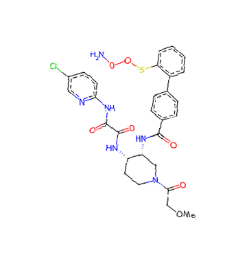 COCC(=O)N1CC[C@H](NC(=O)C(=O)Nc2ccc(Cl)cn2)[C@H](NC(=O)c2ccc(-c3ccccc3SOON)cc2)C1